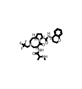 CNC(C)C(=O)N[C@H]1CN(CC(F)(F)F)CC[C@H]2CC[C@@H](C(=O)N[C@@H]3CCOc4ccccc43)N2C1=O